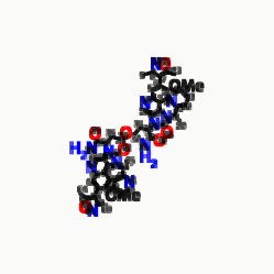 COc1cc2c(cc1-c1c(C)noc1C)ncc1c2n([C@H](C)c2ccccn2)c(=O)n1C(CCOCCC(C(N)=O)n1c(=O)n([C@H](C)c2ccccn2)c2c3cc(OC)c(-c4c(C)noc4C)cc3ncc21)C(N)=O